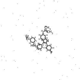 CCOc1cccc(Nc2nccc(-c3c(-c4ccc(F)cc4)nc4cc(CN(C)C)ccn34)n2)c1